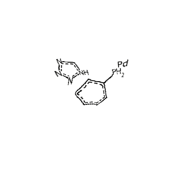 Pc1ccccc1.[Pd].c1nnn[nH]1